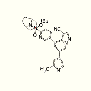 Cc1cc(-c2cc(-c3ccc(N4CC5CCC(C4)N5C(=O)OC(C)(C)C)nc3)c3c(C#N)cnn3c2)ccn1